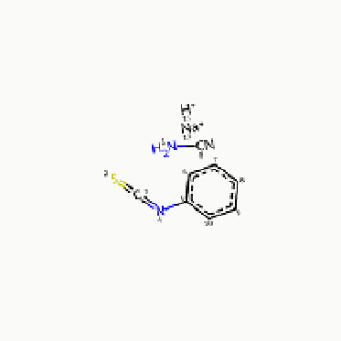 N#CN.S=C=Nc1ccccc1.[H+].[Na+]